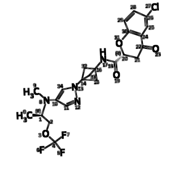 C[C@H](COC(F)(F)F)N(C)c1cnn(C23CC(NC(=O)[C@H]4CC(=O)c5cc(Cl)ccc5O4)(C2)C3)c1